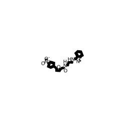 O=C(NCCCNc1nsc2ccccc12)c1ccc(-c2ccc([N+](=O)[O-])cc2)o1